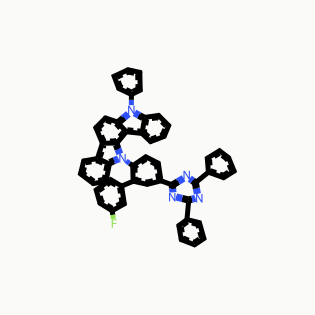 Fc1cccc(-c2cc(-c3nc(-c4ccccc4)nc(-c4ccccc4)n3)ccc2-n2c3ccccc3c3ccc4c(c5ccccc5n4-c4ccccc4)c32)c1